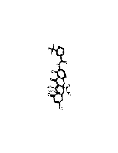 NC(=O)C12Cc3ccc(NC(=O)c4cccc(C(F)(F)F)c4)c(O)c3C(=O)C1=C(O)C1(O)C(=O)CC(O)CC1C2